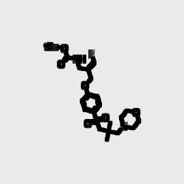 CC(C)(CN1CCOCC1)CS(=O)(=O)c1ccc(OC/C(=C/F)CNC(=O)OC(C)(C)C)cc1